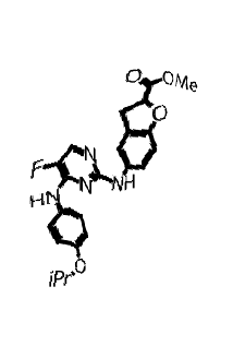 COC(=O)C1Cc2cc(Nc3ncc(F)c(Nc4ccc(OC(C)C)cc4)n3)ccc2O1